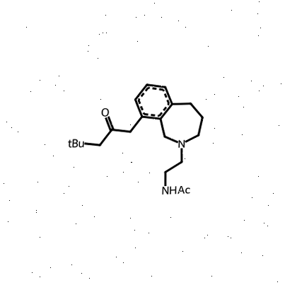 CC(=O)NCCN1CCCc2cccc(CC(=O)CC(C)(C)C)c2C1